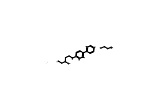 C=CCCCOc1ccc(-c2ccc(C3CCC(CCOC)CO3)c(F)c2F)c(F)c1